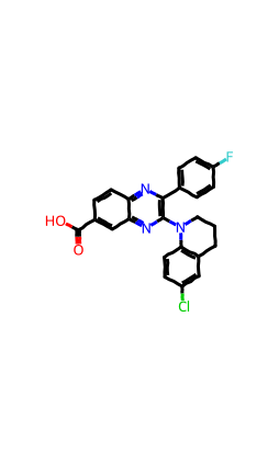 O=C(O)c1ccc2nc(-c3ccc(F)cc3)c(N3CCCc4cc(Cl)ccc43)nc2c1